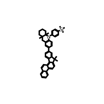 CC1(C)c2cc(-c3ccc4c(c3)CC3(C)CCCCC3(C)N4c3ccc([Si](C)(C)C)cc3)ccc2-c2c1ccc1c2ccc2ccccc21